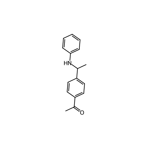 CC(=O)c1ccc(C(C)Nc2ccccc2)cc1